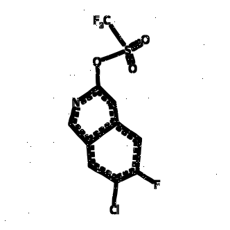 O=S(=O)(Oc1cc2cc(F)c(Cl)cc2cn1)C(F)(F)F